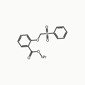 CCCOC(=O)c1ccccc1OCS(=O)(=O)c1ccccc1